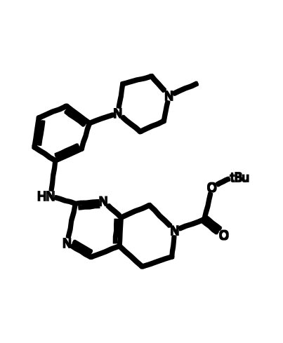 CN1CCN(c2cccc(Nc3ncc4c(n3)CN(C(=O)OC(C)(C)C)CC4)c2)CC1